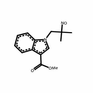 COC(=O)c1cn(CC(C)(C)N=O)c2ccccc12